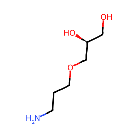 NCCCOC[C@@H](O)CO